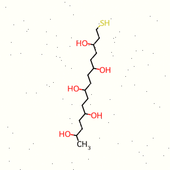 CC(O)CCC(O)CCC(O)CCC(O)CCC(O)CCS